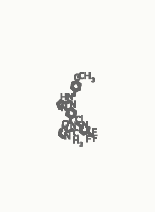 COc1ccc(CNc2nc3cc(Cl)c(C(=O)N(Cc4ccc(C(F)(F)F)cn4)C(C)c4ncccn4)cc3n3cccc23)cc1